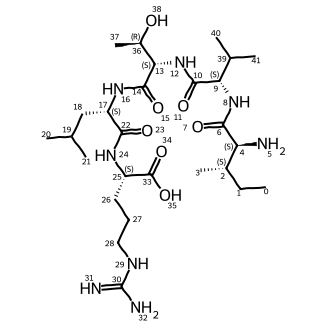 CC[C@H](C)[C@H](N)C(=O)N[C@H](C(=O)N[C@H](C(=O)N[C@@H](CC(C)C)C(=O)N[C@@H](CCCNC(=N)N)C(=O)O)[C@@H](C)O)C(C)C